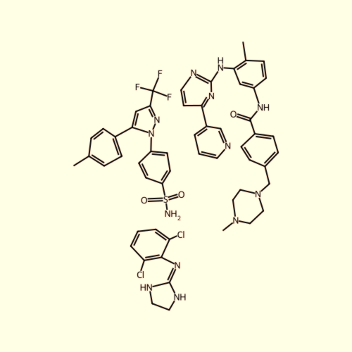 Cc1ccc(-c2cc(C(F)(F)F)nn2-c2ccc(S(N)(=O)=O)cc2)cc1.Cc1ccc(NC(=O)c2ccc(CN3CCN(C)CC3)cc2)cc1Nc1nccc(-c2cccnc2)n1.Clc1cccc(Cl)c1N=C1NCCN1